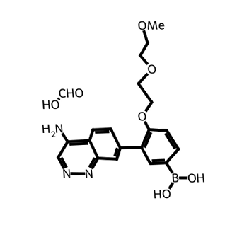 COCCOCCOc1ccc(B(O)O)cc1-c1ccc2c(N)cnnc2c1.O=CO